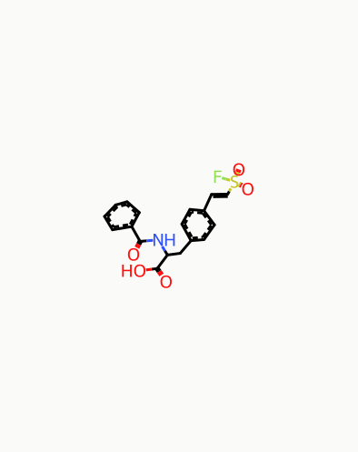 O=C(NC(Cc1ccc(C=CS(=O)(=O)F)cc1)C(=O)O)c1ccccc1